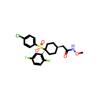 CONC(=O)C[C@H]1CC[C@@](c2cc(F)ccc2F)(S(=O)(=O)c2ccc(Cl)cc2)CC1